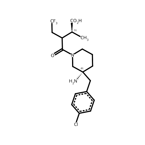 C[C@H](C(=O)O)C(CC(F)(F)F)C(=O)N1CCC[C@@](N)(Cc2ccc(Cl)cc2)C1